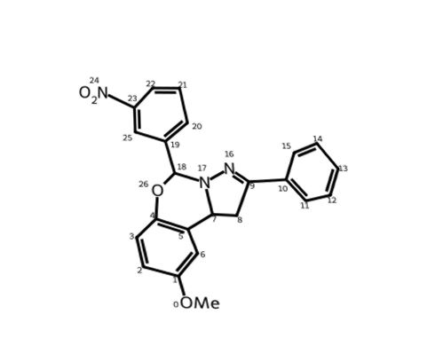 COc1ccc2c(c1)C1CC(c3ccccc3)=NN1C(c1cccc([N+](=O)[O-])c1)O2